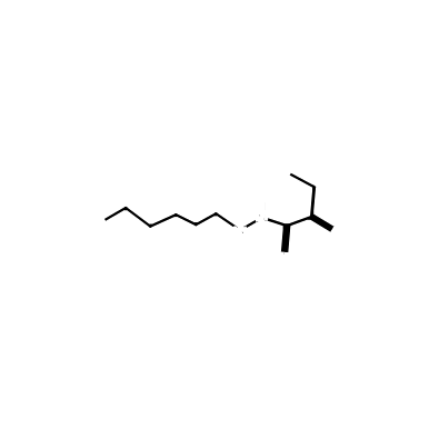 C=C(CC)C(=O)NNCCCCCC